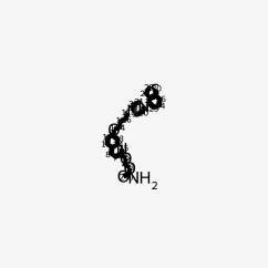 NC(=O)OCOc1ccc2ccc(OCCCCN3CCN(c4cccc5c4CCS5)CC3)cc2n1